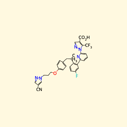 CC(Cc1ccc(OCCCn2cc(C#N)cn2)cc1)c1ccc(F)cc1-c1cccc(-n2ncc(C(=O)O)c2C(F)(F)F)n1